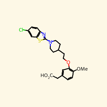 COc1ccc(CC(=O)O)cc1OCCC1CCN(c2nc3ccc(Cl)cc3s2)CC1